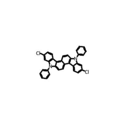 Clc1ccc2c3c4ccc5c(c4ccc3n(-c3ccccc3)c2c1)c1ccc(Cl)cc1n5-c1ccccc1